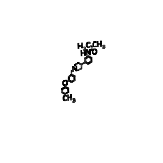 Cc1ccc(Oc2cccc(CN3CCC(c4cccc(NC(=O)C(C)C)c4)CC3)c2)cc1